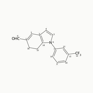 O=CC1=Cc2ccn(-c3cccc(C(F)(F)F)c3)c2CC1